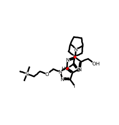 C[Si](C)(C)CCOCn1nc(I)c2nc(CO)c(N3C4CCC3CN(C(=O)O)C4)nc21